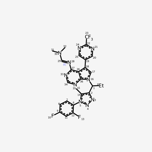 CCC(c1nnn(-c2ccc(F)cc2F)c1C)n1cc(-c2cnc(C(F)(F)F)nc2)c2c(/N=C/N(C)C)ncnc21